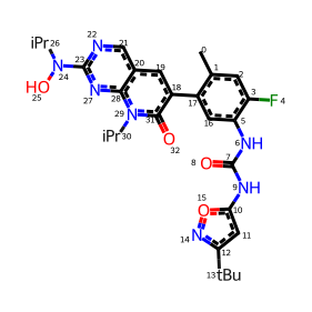 Cc1cc(F)c(NC(=O)Nc2cc(C(C)(C)C)no2)cc1-c1cc2cnc(N(O)C(C)C)nc2n(C(C)C)c1=O